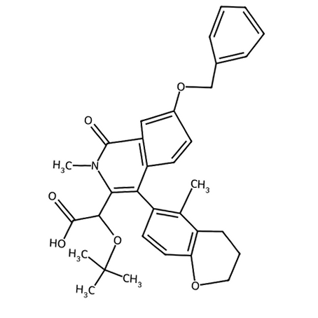 Cc1c(-c2c(C(OC(C)(C)C)C(=O)O)n(C)c(=O)c3cc(OCc4ccccc4)ccc23)ccc2c1CCCO2